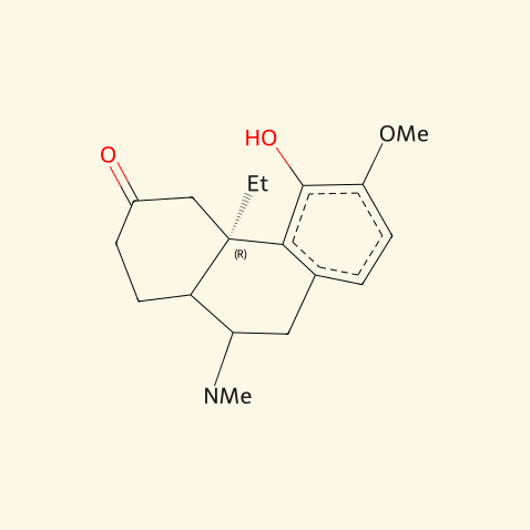 CC[C@@]12CC(=O)CCC1C(NC)Cc1ccc(OC)c(O)c12